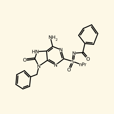 CCCS(=O)(=NC(=O)c1ccccc1)c1nc(N)c2[nH]c(=O)n(Cc3ccccc3)c2n1